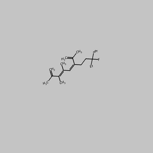 C=C(C)/C(=C\C(C)=C(/C)C(=C)C)CCC(F)(CC)CCC